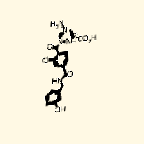 C[C@H](NN(C=NN)C(=O)c1ccc(C(=O)NCc2cccc(O)c2)cc1Cl)C(=O)O